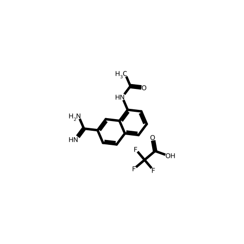 CC(=O)Nc1cccc2ccc(C(=N)N)cc12.O=C(O)C(F)(F)F